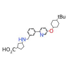 CC(C)(C)C1CCC(Oc2ccc(-c3cccc(CNC4CCC(C(=O)O)C4)c3)nc2)CC1